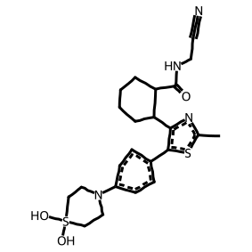 Cc1nc(C2CCCCC2C(=O)NCC#N)c(-c2ccc(N3CCS(O)(O)CC3)cc2)s1